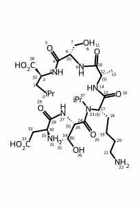 CC(C)C[C@H](NC(=O)[C@H](CO)NC(=O)[C@H](C)NC(=O)[C@H](CCCCN)N(C(=O)[C@@H](NC(=O)[C@@H](N)CC(=O)O)[C@@H](C)O)C(C)C)C(=O)O